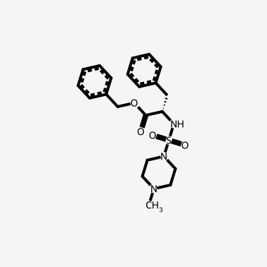 CN1CCN(S(=O)(=O)N[C@@H](Cc2ccccc2)C(=O)OCc2ccccc2)CC1